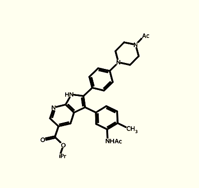 CC(=O)Nc1cc(-c2c(-c3ccc(N4CCN(C(C)=O)CC4)cc3)[nH]c3ncc(C(=O)OC(C)C)cc23)ccc1C